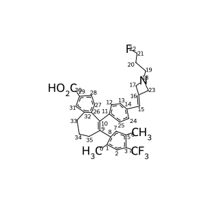 Cc1cc(C(F)(F)F)c(C)cc1C1=C(c2ccc(C=C3CN(CCCF)C3)cc2)c2ccc(C(=O)O)cc2CCC1